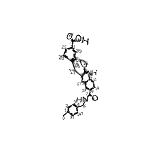 Cc1ccc(CNC(=O)c2ccc3[nH]c(=O)c(Cc4ccc(C(=O)O)cc4)cc3c2)cc1